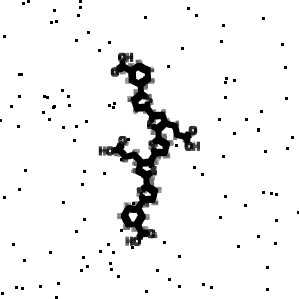 O=C(O)CCc1cc(-c2ccc(-c3cccc(C(=O)O)c3)s2)sc1-c1ccc(-c2sc(-c3ccc(-c4cccc(C(=O)O)c4)s3)cc2CCC(=O)O)s1